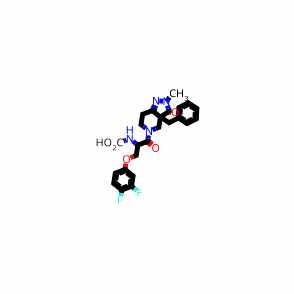 CN1N=C2CCN(C(=O)C(COc3ccc(F)c(F)c3)NC(=O)O)CC2(Cc2ccccc2)C1=O